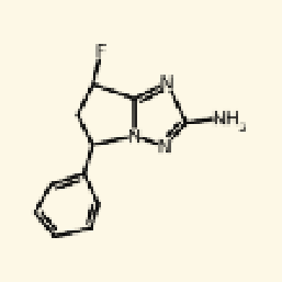 Nc1nc2n(n1)C(c1ccccc1)CC2F